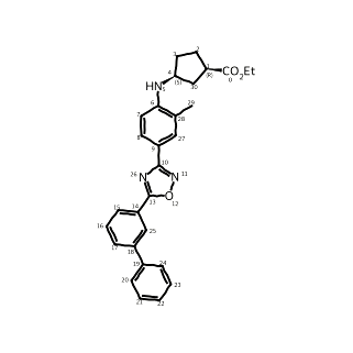 CCOC(=O)[C@@H]1CC[C@H](Nc2ccc(-c3noc(-c4cccc(-c5ccccc5)c4)n3)cc2C)C1